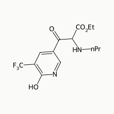 CCCNC(C(=O)OCC)C(=O)c1cnc(O)c(C(F)(F)F)c1